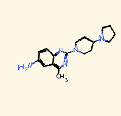 Cc1nc(N2CCC(N3CCCC3)CC2)nc2ccc(N)cc12